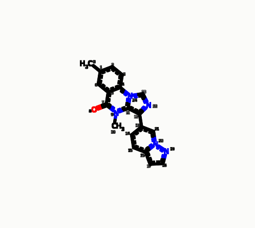 Cc1ccc2c(c1)c(=O)n(C)c1c(-c3ccc4ccnn4c3)ncn21